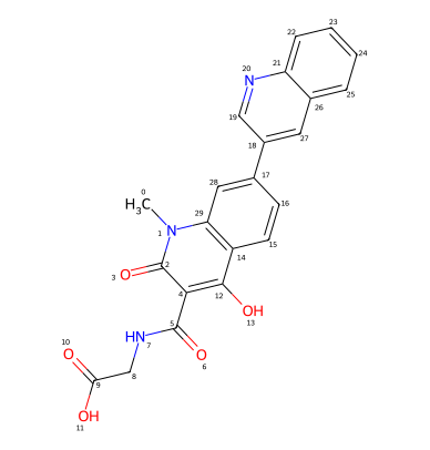 Cn1c(=O)c(C(=O)NCC(=O)O)c(O)c2ccc(-c3cnc4ccccc4c3)cc21